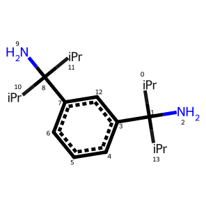 CC(C)C(N)(c1cccc(C(N)(C(C)C)C(C)C)c1)C(C)C